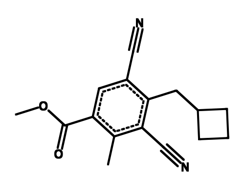 COC(=O)c1cc(C#N)c(CC2CCC2)c(C#N)c1C